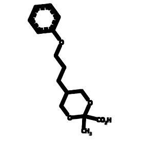 CC1(C(=O)O)OCC(CCCOc2ccccc2)CO1